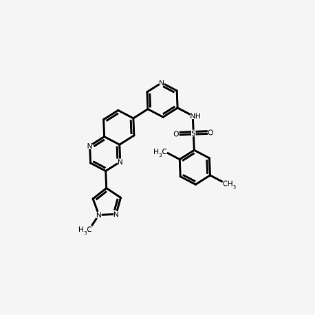 Cc1ccc(C)c(S(=O)(=O)Nc2cncc(-c3ccc4ncc(-c5cnn(C)c5)nc4c3)c2)c1